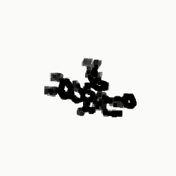 C#CCN(C(=O)NCc1ccccc1)N1CC(=O)N2[C@@H](Cc3ccc(O)c(O)c3)C(=O)N(Cc3cccc4sc(N)nc34)C[C@@H]21